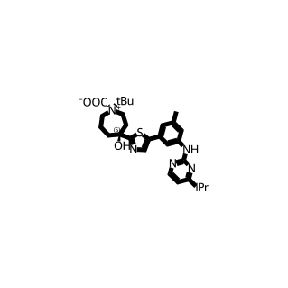 Cc1cc(Nc2nccc(C(C)C)n2)cc(-c2cnc([C@]3(O)CCC[N+](C(=O)[O-])(C(C)(C)C)CC3)s2)c1